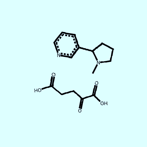 CN1CCCC1c1cccnc1.O=C(O)CCC(=O)C(=O)O